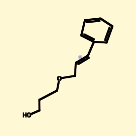 OCCCOC/C=C/c1ccccc1